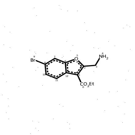 CCOC(=O)c1c(CN)oc2cc(Br)ccc12